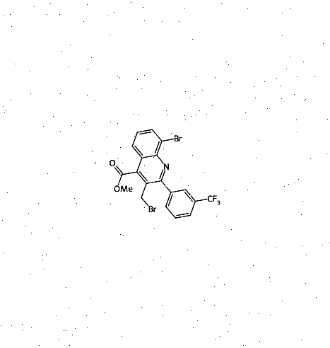 COC(=O)c1c(CBr)c(-c2cccc(C(F)(F)F)c2)nc2c(Br)cccc12